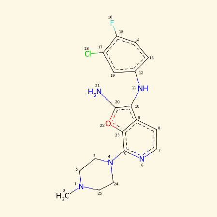 CN1CCN(c2nccc3c(Nc4ccc(F)c(Cl)c4)c(N)oc23)CC1